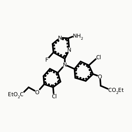 CCOC(=O)COc1ccc(N(c2ccc(OCC(=O)OCC)c(Cl)c2)c2nc(N)ncc2F)cc1Cl